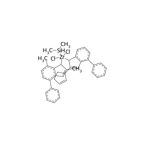 CC1=Cc2c(-c3ccccc3)ccc(C)c2[CH]1[Zr]([Cl])([Cl])([CH]1C(C2C=CCC2)=Cc2c(-c3ccccc3)cccc21)[SiH](C)C